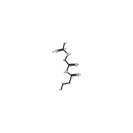 CCCC(=O)OC(=O)COC(C)=O